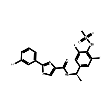 CC(C)c1cccc(-c2nc(C(=O)N[C@H](C)c3cc(F)c(NS(C)(=O)=O)c(F)c3)cs2)c1